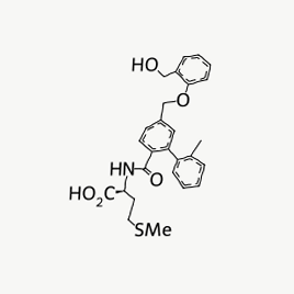 CSCC[C@H](NC(=O)c1ccc(COc2ccccc2CO)cc1-c1ccccc1C)C(=O)O